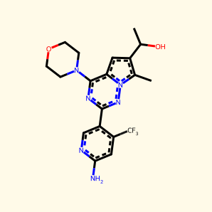 Cc1c(C(C)O)cc2c(N3CCOCC3)nc(-c3cnc(N)cc3C(F)(F)F)nn12